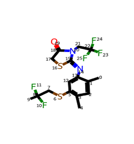 Cc1cc(C)c(SCC(C)(F)F)cc1/N=C1\SCC(=O)N1CC(F)(F)F